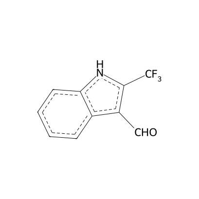 O=Cc1c(C(F)(F)F)[nH]c2ccccc12